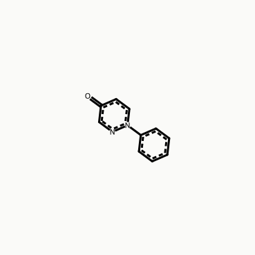 O=c1ccn(-c2ccccc2)nc1